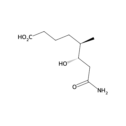 C[C@H](CCCC(=O)O)[C@@H](O)CC(N)=O